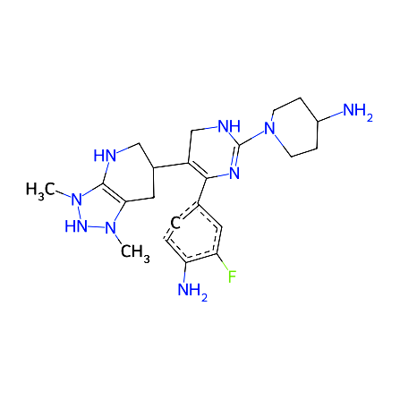 CN1NN(C)C2=C1CC(C1=C(c3ccc(N)c(F)c3)N=C(N3CCC(N)CC3)NC1)CN2